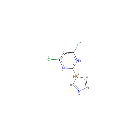 Clc1cc(Cl)nc([SH]2C=CN=C2)n1